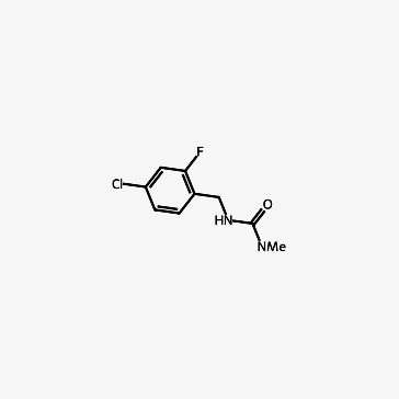 CNC(=O)NCc1ccc(Cl)cc1F